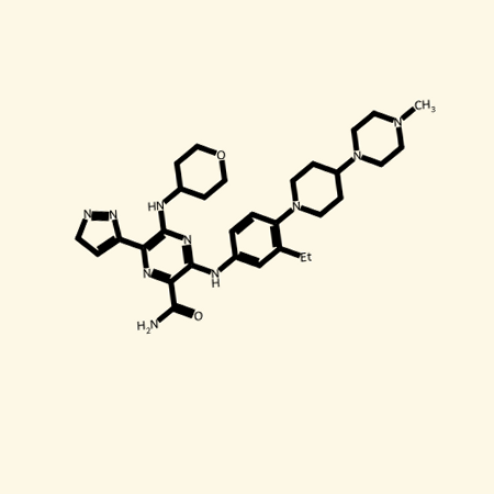 CCc1cc(Nc2nc(NC3CCOCC3)c(C3=CCN=N3)nc2C(N)=O)ccc1N1CCC(N2CCN(C)CC2)CC1